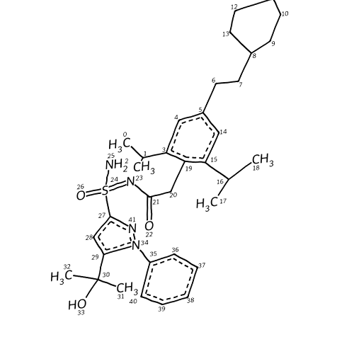 CC(C)c1cc(CCC2CCCCC2)cc(C(C)C)c1CC(=O)N=S(N)(=O)c1cc(C(C)(C)O)n(-c2ccccc2)n1